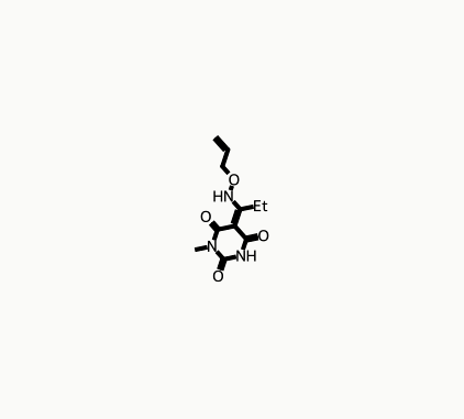 C=CCONC(CC)=C1C(=O)NC(=O)N(C)C1=O